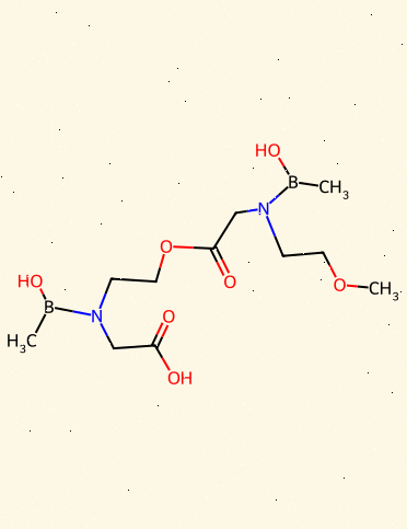 COCCN(CC(=O)OCCN(CC(=O)O)B(C)O)B(C)O